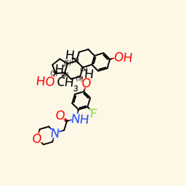 C[C@]12C[C@H](Oc3ccc(NC(=O)CN4CCOCC4)c(F)c3)[C@@H]3c4ccc(O)cc4CC[C@H]3[C@@H]1CC[C@@H]2O